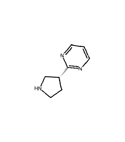 c1cnc([C@@H]2CCNC2)nc1